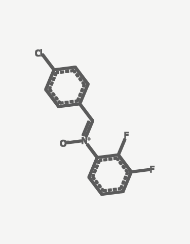 [O-][N+](=Cc1ccc(Cl)cc1)c1cccc(F)c1F